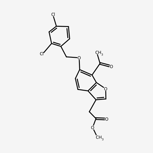 COC(=O)Cc1coc2c(C(C)=O)c(OCc3ccc(Cl)cc3Cl)ccc12